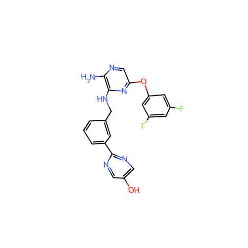 Nc1ncc(Oc2cc(F)cc(F)c2)nc1NCc1cccc(-c2ncc(O)cn2)c1